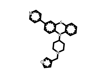 c1ccc2c(c1)Sc1cc(-c3ccncc3)ccc1N2C1CCN(Cc2ccoc2)CC1